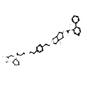 COC(CN(C(=O)CCOCCc1ccc(CCN2CC3C[C@H](OC(=O)Nc4ccccc4-c4ccccc4)C[C@H]3C2)cc1)C1CCCC1)OC